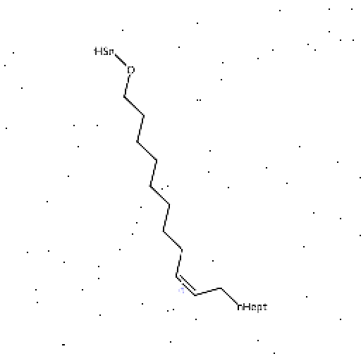 CCCCCCCC/C=C\CCCCCCCC[O][SnH]